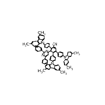 Cc1ccc2c(c1)c1cc(C)ccc1n2-c1ccc(-c2cc(C#N)c(-c3ccc(-n4c5ccc(C)cc5c5cc(C)ccc54)cc3)c(-c3cc(-c4ccccc4)nc(-c4ccccc4)n3)c2-c2ccc(-n3c4ccc(C)cc4c4cc(C)ccc43)cc2)cc1